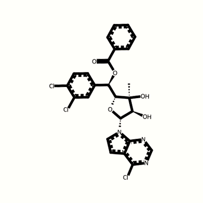 C[C@@]1(O)[C@@H]([C@H](OC(=O)c2ccccc2)c2ccc(Cl)c(Cl)c2)O[C@@H](n2ccc3c(Cl)ncnc32)[C@@H]1O